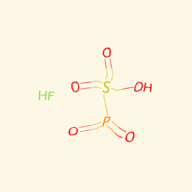 F.O=P(=O)S(=O)(=O)O